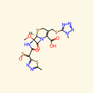 CO[C@@]1(NC(=O)C(=S=O)c2nnc(C)s2)C(=O)N2C(C(=O)O)=C(CSc3nnnn3C)CS[C@@H]21